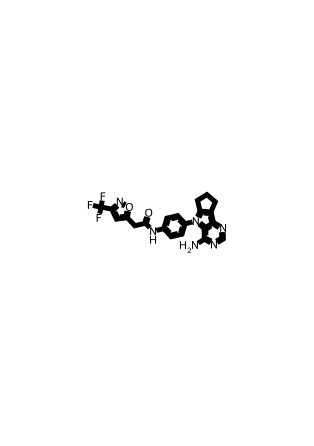 Nc1ncnc2c3c(n(-c4ccc(NC(=O)Cc5cc(C(F)(F)F)no5)cc4)c12)CCC3